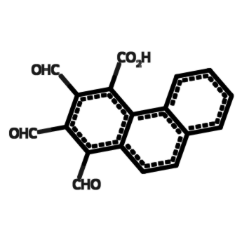 O=Cc1c(C=O)c(C(=O)O)c2c(ccc3ccccc32)c1C=O